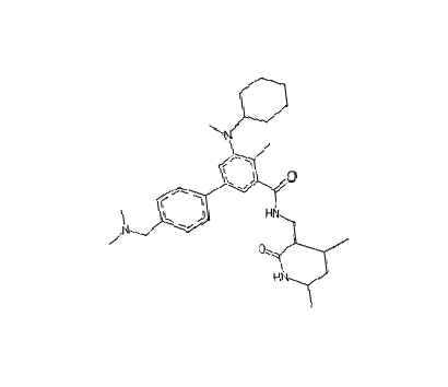 Cc1c(C(=O)NCC2C(=O)NC(C)CC2C)cc(-c2ccc(CN(C)C)cc2)cc1N(C)C1CCCCC1